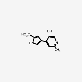 Cc1cc(-c2c[nH]c(C(=O)O)c2)ccn1.[LiH]